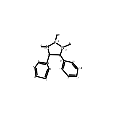 CN1C(c2ccccc2)C(c2ccccc2)N(C)P1C